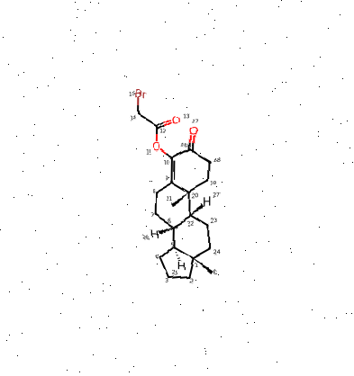 C[C@@]12CCC[C@H]1[C@@H]1CCC3=C(OC(=O)CBr)C(=O)CC[C@]3(C)[C@@H]1CC2